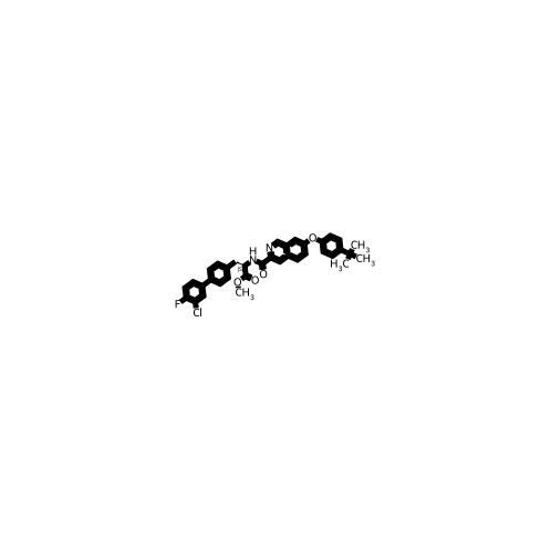 COC(=O)[C@H](Cc1ccc(-c2ccc(F)c(Cl)c2)cc1)NC(=O)c1cc2ccc(Oc3ccc(C(C)(C)C)cc3)cc2cn1